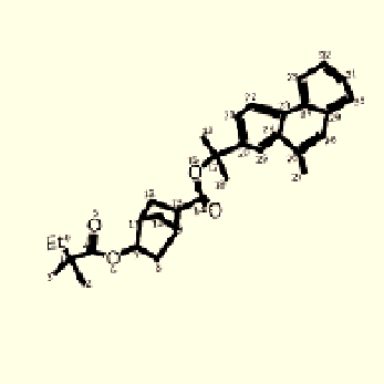 CCC(C)(C)C(=O)OC1CC2CC1CC2C(=O)OC(C)(C)c1ccc2c(c1)c(C)cc1ccccc12